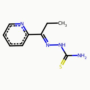 CC/C(=N\NC(N)=S)c1ccccn1